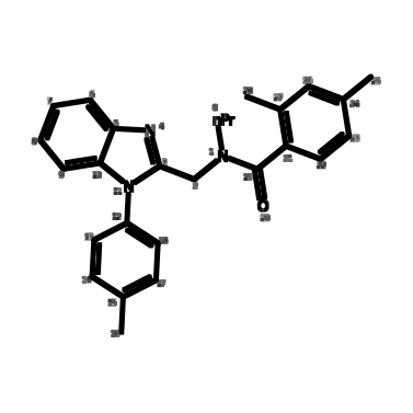 CCCN(Cc1nc2ccccc2n1-c1ccc(C)cc1)C(=O)c1ccc(C)cc1C